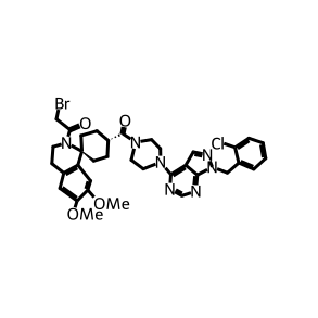 COc1cc2c(cc1OC)[C@]1(CC[C@@H](C(=O)N3CCN(c4ncnc5c4cnn5Cc4ccccc4Cl)CC3)CC1)N(C(=O)CBr)CC2